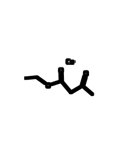 CCOC(=O)CC(C)=O.[Co]